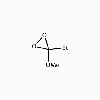 CCC1(OC)OO1